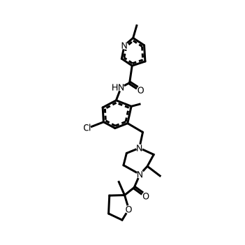 Cc1ccc(C(=O)Nc2cc(Cl)cc(CN3CCN(C(=O)C4(C)CCCO4)C(C)C3)c2C)cn1